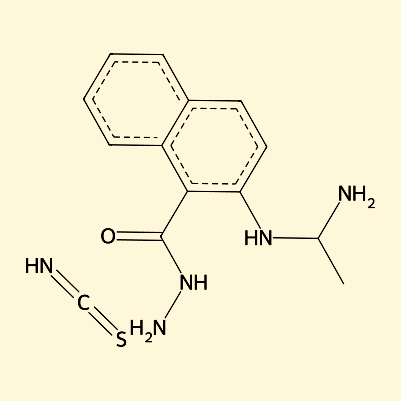 CC(N)Nc1ccc2ccccc2c1C(=O)NN.N=C=S